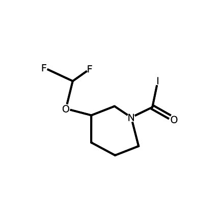 O=C(I)N1CCCC(OC(F)F)C1